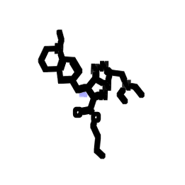 CCCCOC(=O)c1nn2c(CN(CC)CC)nnc2/c1=C\c1ccc2c(c1)CCCN2CC